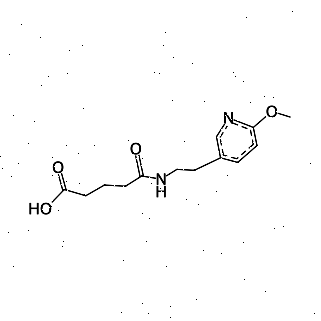 COc1ccc(CCNC(=O)CCCC(=O)O)cn1